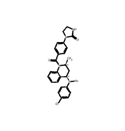 CC(=O)N(c1ccc(Cl)cc1)[C@@H]1C[C@H](C)N(C(=O)c2ccc(N3CCNC3=O)cc2)c2ccccc21